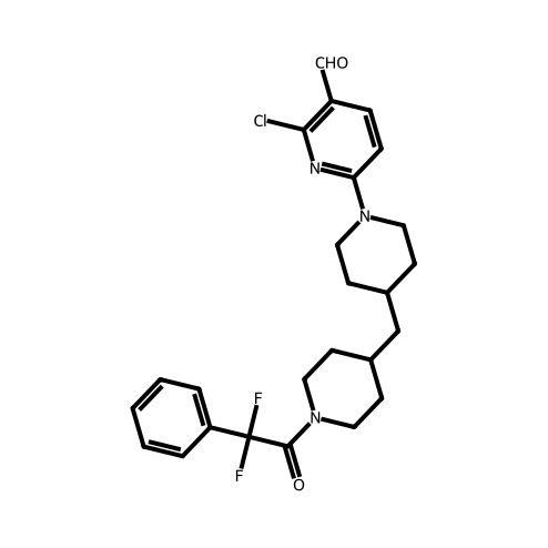 O=Cc1ccc(N2CCC(CC3CCN(C(=O)C(F)(F)c4ccccc4)CC3)CC2)nc1Cl